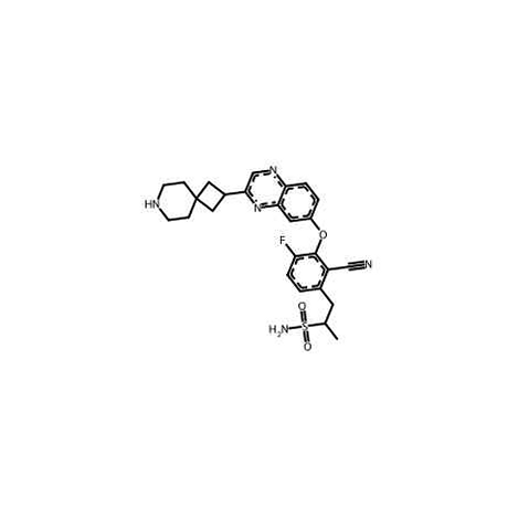 CC(Cc1ccc(F)c(Oc2ccc3ncc(C4CC5(CCNCC5)C4)nc3c2)c1C#N)S(N)(=O)=O